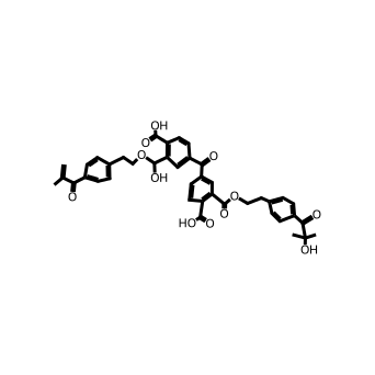 C=C(C)C(=O)c1ccc(CCOC(O)c2cc(C(=O)c3ccc(C(=O)O)c(C(=O)OCCc4ccc(C(=O)C(C)(C)O)cc4)c3)ccc2C(=O)O)cc1